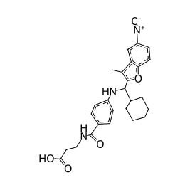 [C-]#[N+]c1ccc2oc(C(Nc3ccc(C(=O)NCCC(=O)O)cc3)C3CCCCC3)c(C)c2c1